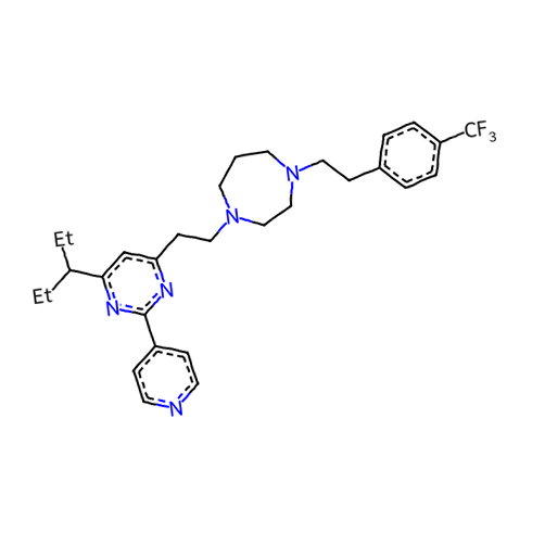 CCC(CC)c1cc(CCN2CCCN(CCc3ccc(C(F)(F)F)cc3)CC2)nc(-c2ccncc2)n1